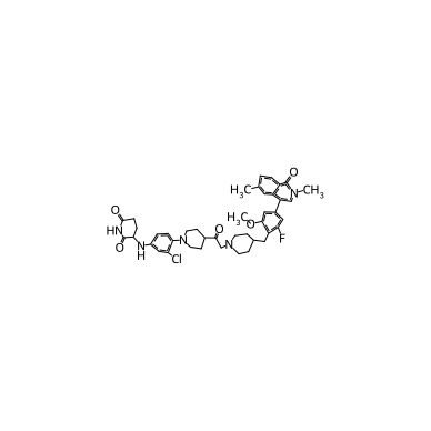 COc1cc(-c2cn(C)c(=O)c3ccc(C)cc23)cc(F)c1CC1CCN(CC(=O)C2CCN(c3ccc(NC4CCC(=O)NC4=O)cc3Cl)CC2)CC1